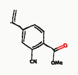 C=[C]c1ccc(C(=O)OC)c(C#N)c1